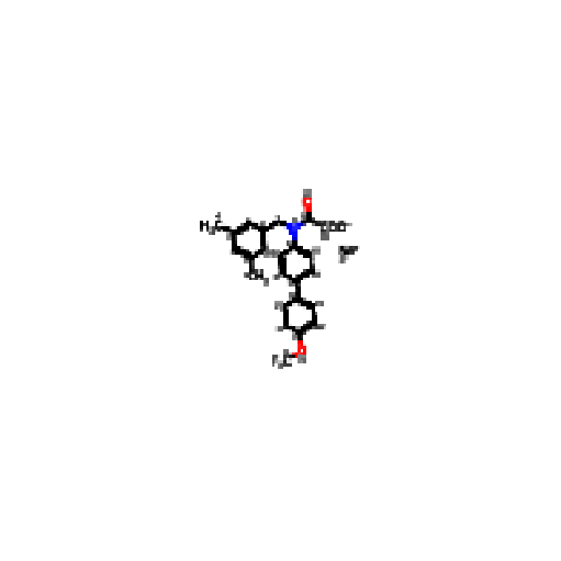 Cc1cc(C)cc(CN(C(=O)C(=O)[O-])c2ccc(-c3ccc(OC(F)(F)F)cc3)cc2)c1.[Na+]